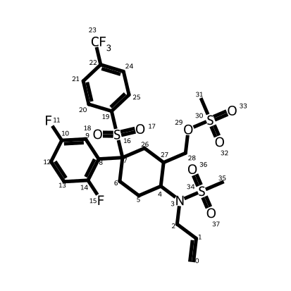 C=CCN(C1CCC(c2cc(F)ccc2F)(S(=O)(=O)c2ccc(C(F)(F)F)cc2)CC1COS(C)(=O)=O)S(C)(=O)=O